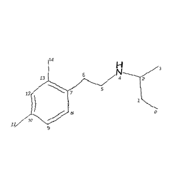 CCC(C)NCCc1ccc(C)cc1C